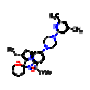 COC(=O)Cn1ccc(CC(C)C)c1C1(Nc2ccc(N3CCN(c4cc(C)cc(C)n4)CC3)cc2)CCCCO1